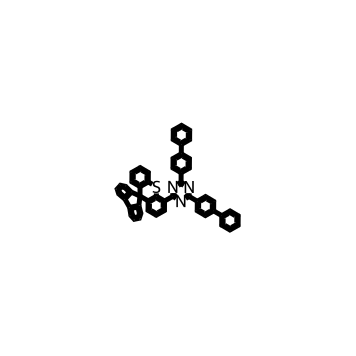 c1ccc(-c2ccc(-c3nc(-c4ccc(-c5ccccc5)cc4)nc(-c4cccc5c4Sc4ccccc4C54c5ccccc5-c5ccccc54)n3)cc2)cc1